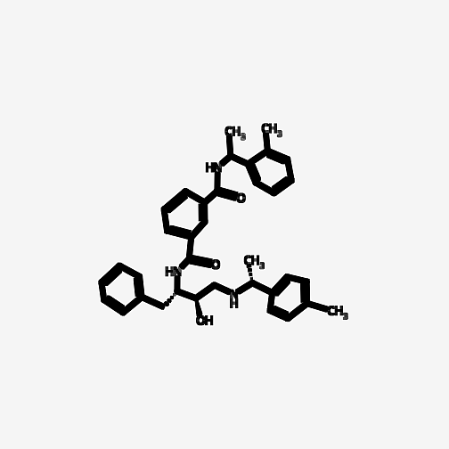 Cc1ccc([C@@H](C)NC[C@@H](O)[C@H](Cc2ccccc2)NC(=O)c2cccc(C(=O)NC(C)c3ccccc3C)c2)cc1